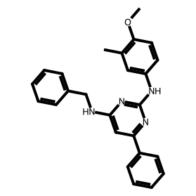 COc1ccc(Nc2nc(NCc3ccccc3)cc(-c3ccccc3)n2)cc1C